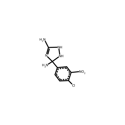 NC1=NC(N)(c2ccc(Cl)c([N+](=O)[O-])c2)NN1